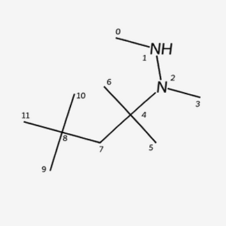 CNN(C)C(C)(C)CC(C)(C)C